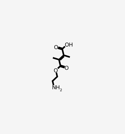 C/C(C(=O)O)=C(/C)C(=O)OCCN